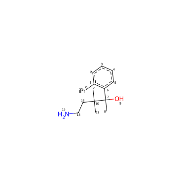 CC(C)c1ccccc1C(C)(O)C(C)(C)CCN